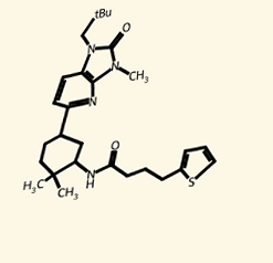 Cn1c(=O)n(CC(C)(C)C)c2ccc(C3CCC(C)(C)C(NC(=O)CCCc4cccs4)C3)nc21